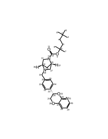 CC(C)(C)CCC(C)(C)OC(=O)N1C[C@@H]2C[C@H]1CN2Cc1ccc([C@H]2COc3cccnc3O2)cc1